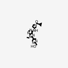 CCn1c(-c2cnc(CO)nc2)nc2c(N[C@H]3CCN(C(=O)C4CC4)C3)ncnc21